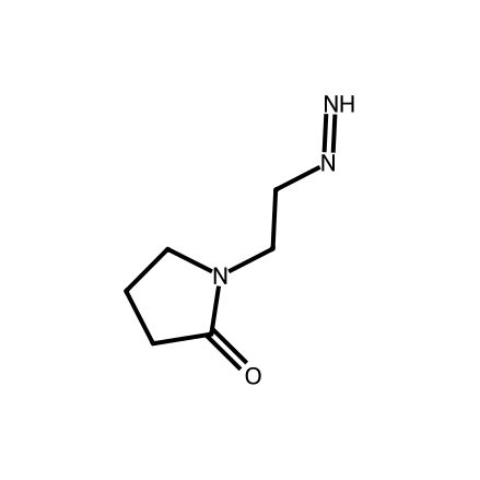 N=NCCN1CCCC1=O